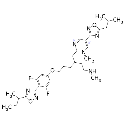 C=N/C=C(\C=N/CCC(CCCOc1cc(F)c(-c2noc(C(C)CC)n2)c(F)c1)CCNC)c1noc(CC(C)C)n1